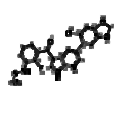 CCCCSNc1cccc(C(=O)c2c[nH]c3ncc(-c4cc5c(cc4Cl)OCO5)cc23)c1F